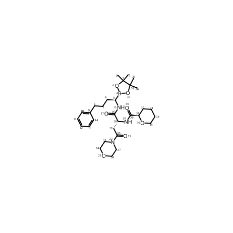 CC1(C)OB([C@H](CCCc2ccccc2)NC(=O)[C@@H](CC(=O)N2CCOCC2)NC(=O)[C@H]2CCCCO2)OC1(C)C